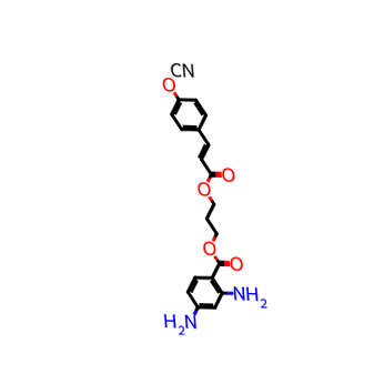 N#COc1ccc(/C=C/C(=O)OCCCOC(=O)c2ccc(N)cc2N)cc1